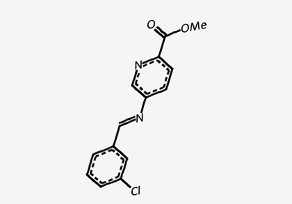 COC(=O)c1ccc(/N=C/c2cccc(Cl)c2)cn1